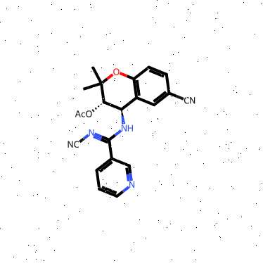 CC(=O)O[C@H]1[C@H](NC(=NC#N)c2cccnc2)c2cc(C#N)ccc2OC1(C)C